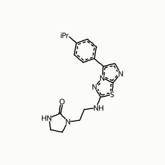 CC(C)c1ccc(-c2cnc3sc(NCCN4CCNC4=O)nn23)cc1